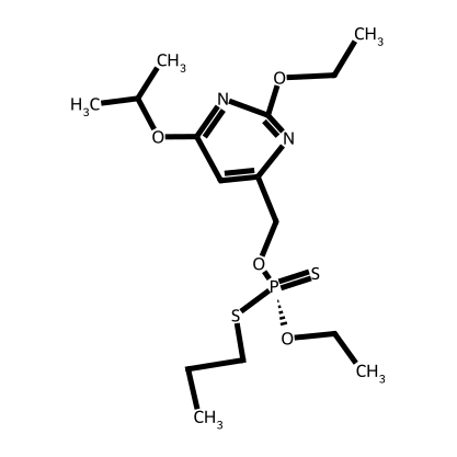 CCCS[P@@](=S)(OCC)OCc1cc(OC(C)C)nc(OCC)n1